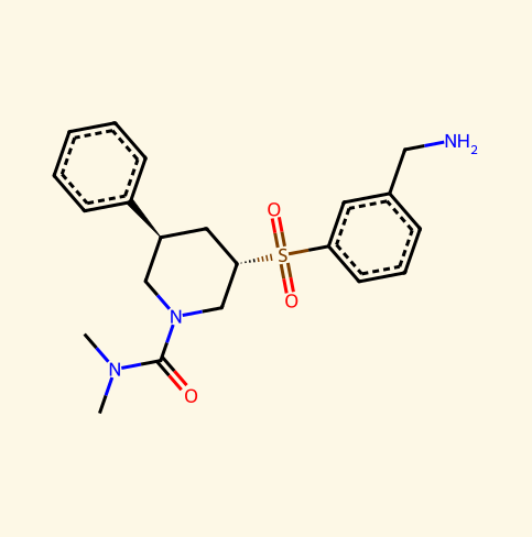 CN(C)C(=O)N1C[C@@H](c2ccccc2)C[C@H](S(=O)(=O)c2cccc(CN)c2)C1